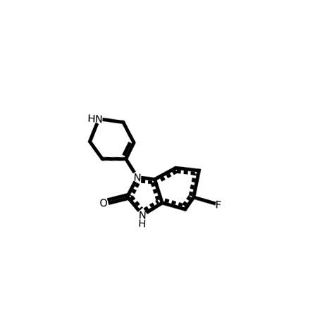 O=c1[nH]c2cc(F)ccc2n1C1=CCNCC1